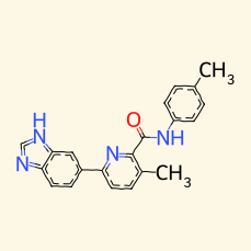 Cc1ccc(NC(=O)c2nc(-c3ccc4nc[nH]c4c3)ccc2C)cc1